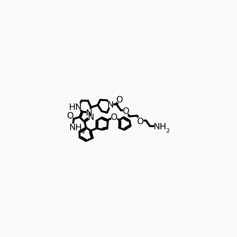 NCCOCCOCC(=O)N1CCC(C2CCNc3c(C(N)=O)c(-c4ccccc4-c4ccc(Oc5ccccc5)cc4)nn32)CC1